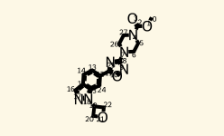 COC(=O)N1CCN(c2noc(-c3ccc4cnn(C5COC5)c4c3)n2)CC1